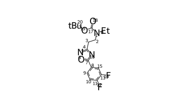 CCN(CCc1noc(-c2ccc(F)c(F)c2)n1)C(=O)OC(C)(C)C